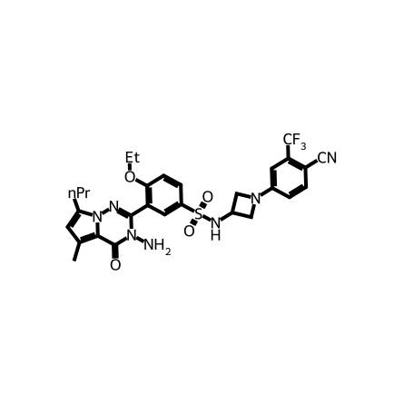 CCCc1cc(C)c2c(=O)n(N)c(-c3cc(S(=O)(=O)NC4CN(c5ccc(C#N)c(C(F)(F)F)c5)C4)ccc3OCC)nn12